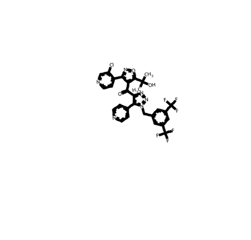 CC(C)(O)c1onc(-c2ccncc2Cl)c1C(=O)c1nnn(Cc2cc(C(F)(F)F)cc(C(F)(F)F)c2)c1-c1ccncc1